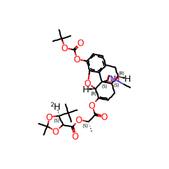 [2H][C@@]1(C(C)(C)C)OC(C)(C)OC1C(=O)O[C@@H](C)C(=O)OC1=CC[C@@]2(O)[C@H]3Cc4ccc(OC(=O)OC(C)(C)C)c5c4[C@@]2(CCN3C)[C@H]1O5